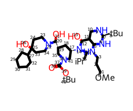 COCCCNC1N[C@H](C(C)(C)C)NCC1C(O)N(CC(C)C)[C@H]1C[C@@H](C(O)N2CCC(O)(C3CCCCC3)CC2)CN(C(=O)OC(C)(C)C)C1